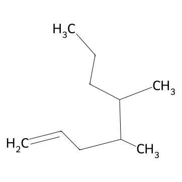 C=CCC(C)C(C)CCC